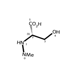 CNN[C@@H](CO)C(=O)O